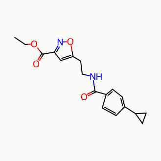 CCOC(=O)c1cc(CCNC(=O)c2ccc(C3CC3)cc2)on1